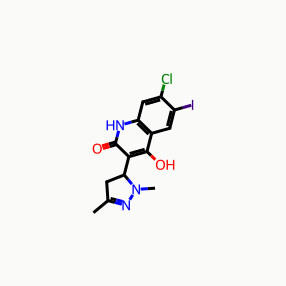 CC1=NN(C)C(c2c(O)c3cc(I)c(Cl)cc3[nH]c2=O)C1